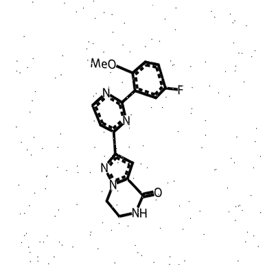 COc1ccc(F)cc1-c1nccc(-c2cc3n(n2)CCNC3=O)n1